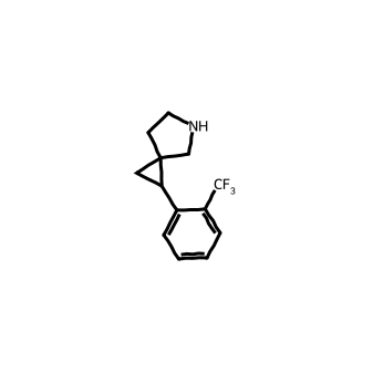 FC(F)(F)c1ccccc1C1CC12CCNC2